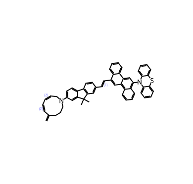 C=C1/C=C\C=C/CN(c2ccc3c(c2)C(C)(C)c2cc(/C=C/c4cc5c6ccccc6c(N6c7ccccc7Sc7ccccc76)cc5c5ccccc45)ccc2-3)CCC1